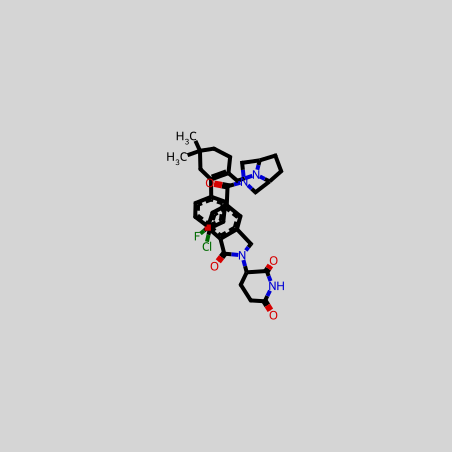 CC1(C)CCC(CN2C3CCC2CN(C(=O)c2cc(F)c4c(c2)CN(C2CCC(=O)NC2=O)C4=O)C3)=C(c2ccc(Cl)cc2)C1